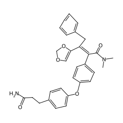 CN(C)C(=O)C(=C(Cc1ccccc1)C1=COCO1)c1ccc(Oc2ccc(CCC(N)=O)cc2)cc1